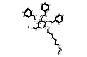 [N-]=[N+]=NCCCCCO[C@H]1OC(CO)[C@H](OCc2ccccc2)C(OCc2ccccc2)C1OCc1ccccc1